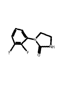 O=C1NCCN1c1cccc(F)c1F